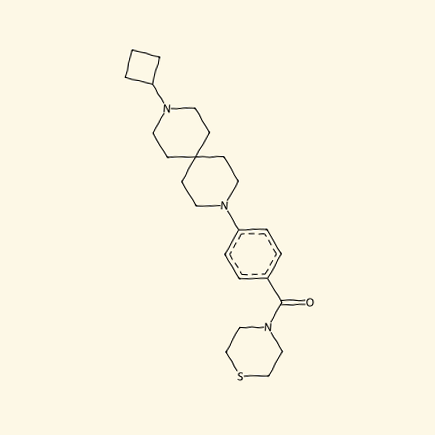 O=C(c1ccc(N2CCC3(CC2)CCN(C2CCC2)CC3)cc1)N1CCSCC1